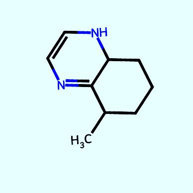 CC1CCCC2NC=CN=C12